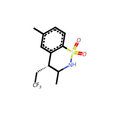 Cc1ccc2c(c1)[C@@H](CC(F)(F)F)C(C)NS2(=O)=O